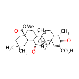 COC(=O)[C@]12CCC(C)(C)CC1C1C(=O)C=C3[C@@]4(C)C=C(C(=O)O)C(=O)[C@@H](C)C4CC[C@@]3(C)[C@]1(C)CC2